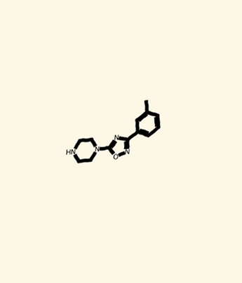 Cc1cccc(-c2noc(N3CCNCC3)n2)c1